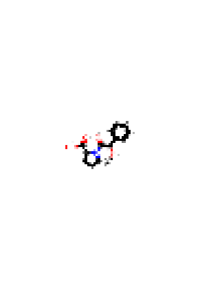 CO[C@@H](C(=O)N1CCC[C@H]1C(=O)O)c1ccccc1